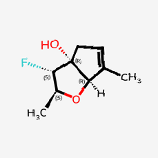 CC1=CC[C@@]2(O)[C@@H]1O[C@@H](C)[C@@H]2F